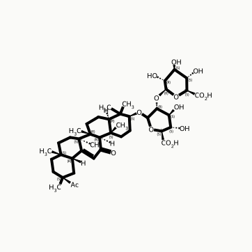 CC(=O)[C@@]1(C)CC[C@]2(C)CC[C@]3(C)C(=CC(=O)[C@@H]4[C@@]5(C)CC[C@H](OC6O[C@H](C(=O)O)[C@@H](O)[C@H](O)[C@H]6O[C@@H]6O[C@H](C(=O)O)[C@@H](O)[C@H](O)[C@H]6O)C(C)(C)[C@@H]5CC[C@]43C)[C@@H]2C1